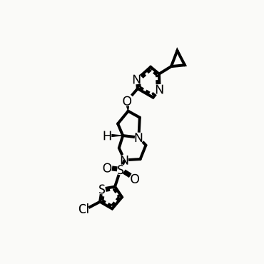 O=S(=O)(c1ccc(Cl)s1)N1CCN2C[C@H](Oc3cnc(C4CC4)cn3)C[C@H]2C1